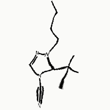 CCCCN1N=CN(C#N)C1C(C)(C)C